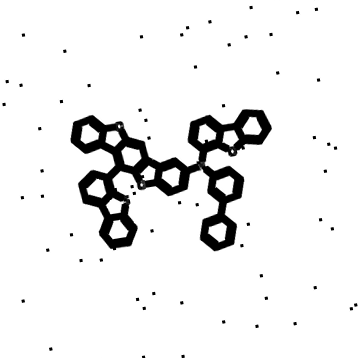 c1ccc(-c2cccc(N(c3ccc4oc5c(-c6cccc7c6sc6ccccc67)c6c(cc5c4c3)oc3ccccc36)c3cccc4c3oc3ccccc34)c2)cc1